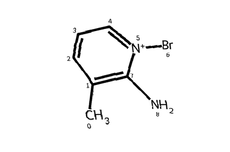 Cc1ccc[n+](Br)c1N